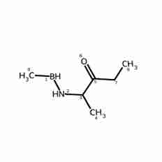 CBNC(C)C(=O)CC